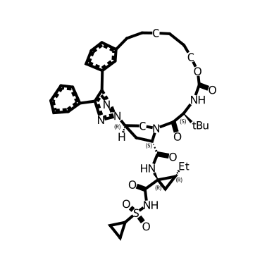 CC[C@@H]1C[C@]1(NC(=O)[C@@H]1C[C@@H]2CN1C(=O)[C@H](C(C)(C)C)NC(=O)OCCCCCCc1cccc(c1)-c1nn2nc1-c1ccccc1)C(=O)NS(=O)(=O)C1CC1